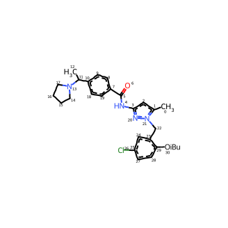 Cc1cc(NC(=O)c2ccc(C(C)N3CCCC3)cc2)nn1Cc1cc(Cl)ccc1OCC(C)C